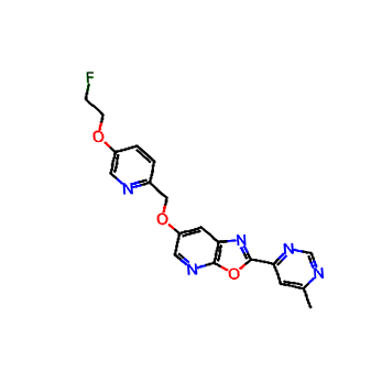 Cc1cc(-c2nc3cc(OCc4ccc(OCCF)cn4)cnc3o2)ncn1